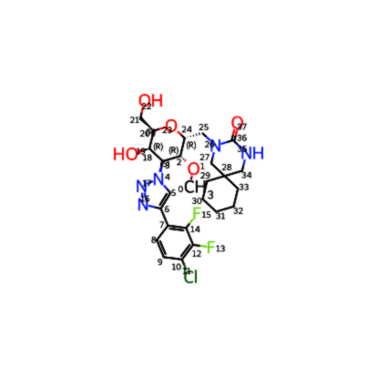 CO[C@@H]1[C@@H](n2cc(-c3ccc(Cl)c(F)c3F)nn2)[C@@H](O)[C@@H](CO)O[C@@H]1CN1CC2(CCCCC2)CNC1=O